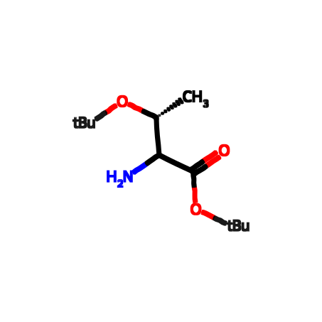 C[C@@H](OC(C)(C)C)C(N)C(=O)OC(C)(C)C